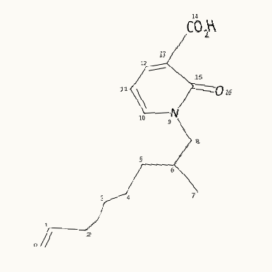 C=CCCCCC(C)Cn1cccc(C(=O)O)c1=O